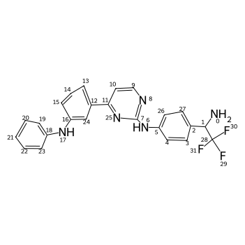 NC(c1ccc(Nc2nccc(-c3cccc(Nc4ccccc4)c3)n2)cc1)C(F)(F)F